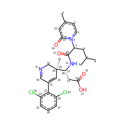 Cc1ccn(C(CC(C)C)C(=O)N[C@H](CC(=O)O)[C@@]2(C)C=C(c3c(Cl)cccc3Cl)C=NC2)c(=O)c1